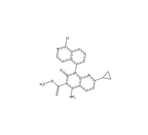 COC(=O)c1c(N)c2ccc(C3CC3)nc2n(-c2cccc3c(Cl)nccc23)c1=O